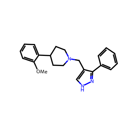 COc1ccccc1C1CCN(Cc2c[nH]nc2-c2ccccc2)CC1